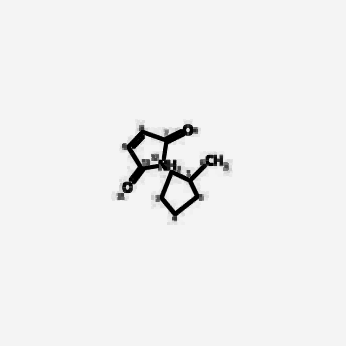 CC1CCCC1.O=C1C=CC(=O)N1